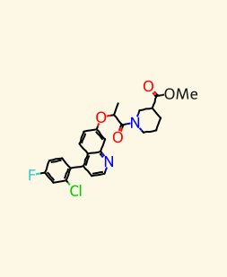 COC(=O)C1CCCN(C(=O)C(C)Oc2ccc3c(-c4ccc(F)cc4Cl)ccnc3c2)C1